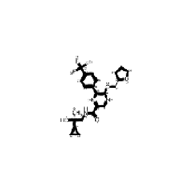 C[C@](O)(CNC(=O)c1cnc(OC[C@@H]2CCCO2)c(-c2ccc(C(F)(F)F)cc2)n1)C1CC1